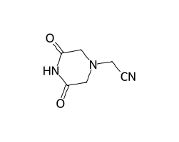 N#CCN1CC(=O)NC(=O)C1